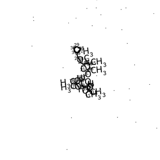 CC1[C@@H](OCC2O[C@@H]3OC(C)(C)OC3[C@H]3OC(C)(C)O[C@@H]23)OC(COCc2ccccc2)[C@@H](C)[C@@H]1C